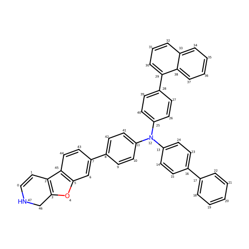 C1=Cc2c(oc3cc(-c4ccc(N(c5ccc(-c6ccccc6)cc5)c5ccc(-c6cccc7ccccc67)cc5)cc4)ccc23)CN1